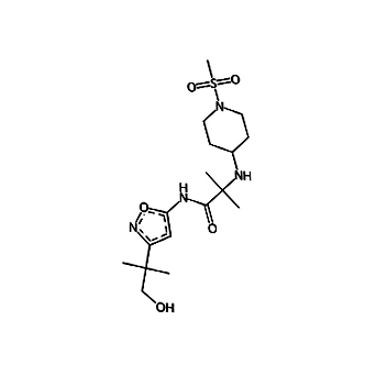 CC(C)(NC1CCN(S(C)(=O)=O)CC1)C(=O)Nc1cc(C(C)(C)CO)no1